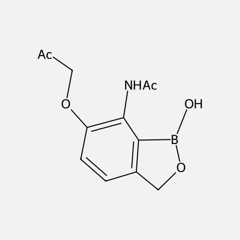 CC(=O)COc1ccc2c(c1NC(C)=O)B(O)OC2